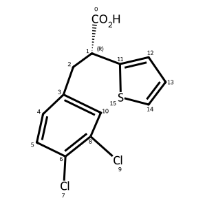 O=C(O)[C@@H](Cc1ccc(Cl)c(Cl)c1)c1cccs1